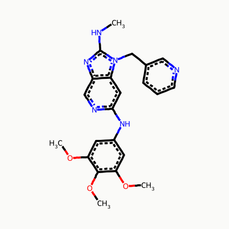 CNc1nc2cnc(Nc3cc(OC)c(OC)c(OC)c3)cc2n1Cc1cccnc1